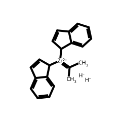 C[C](C)=[Zr+2]([CH]1C=Cc2ccccc21)[CH]1C=Cc2ccccc21.[H-].[H-]